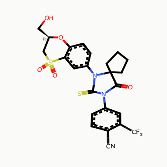 N#Cc1ccc(N2C(=O)C3(CCCC3)N(c3ccc4c(c3)S(=O)(=O)C[C@@H](CO)O4)C2=S)cc1C(F)(F)F